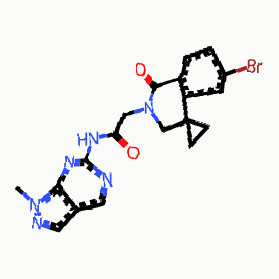 Cn1ncc2cnc(NC(=O)CN3CC4(CC4)c4cc(Br)ccc4C3=O)nc21